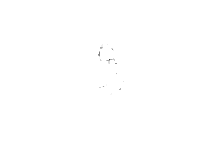 C=CC(CCC)C(C)CCCc1ccccc1